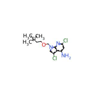 C[Si](C)(C)CCOCn1cc(Cl)c2c(N)cc(Cl)nc21